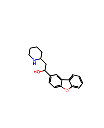 OC(CC1CCCCN1)c1ccc2oc3ccccc3c2c1